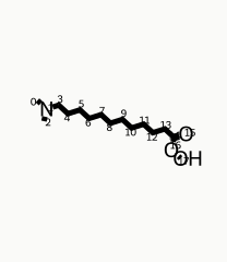 CN(C)CCCCCCCCCCCC(=O)OO